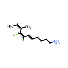 C\C=C(C)/C(F)=C(Cl)\C=C\CCCCN